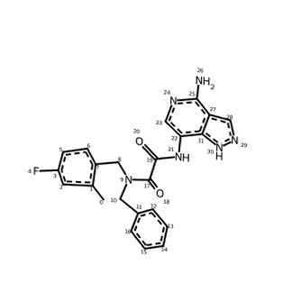 Cc1cc(F)ccc1CN(Cc1ccccc1)C(=O)C(=O)Nc1cnc(N)c2cn[nH]c12